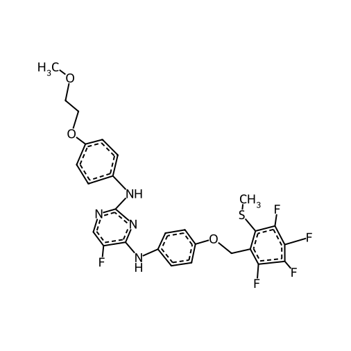 COCCOc1ccc(Nc2ncc(F)c(Nc3ccc(OCc4c(F)c(F)c(F)c(F)c4SC)cc3)n2)cc1